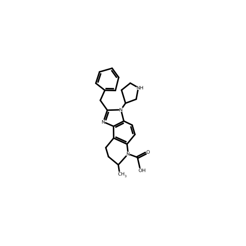 CC1CCc2c(ccc3c2nc(Cc2ccccc2)n3C2CCNC2)N1C(=O)O